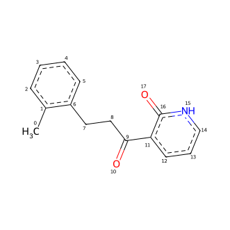 Cc1ccccc1CCC(=O)c1ccc[nH]c1=O